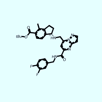 Cc1c(C(=O)OC(C)(C)C)ccc2c1CC[C@@H]2NCc1cc(C(=O)NCc2ccc(F)c(F)c2)nc2ccnn12